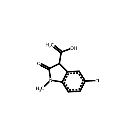 C=C(O)C1C(=O)N(C)c2ccc(Cl)cc21